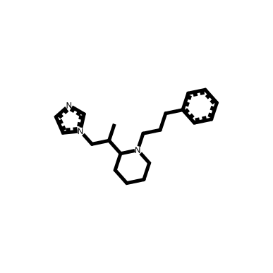 CC(Cn1ccnc1)C1CCCCN1CCCc1ccccc1